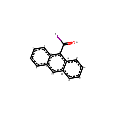 O=C(I)c1c2ccccc2cc2ccccc12